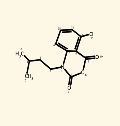 CC(C)CCn1c(=O)oc(=O)c2c(Cl)cccc21